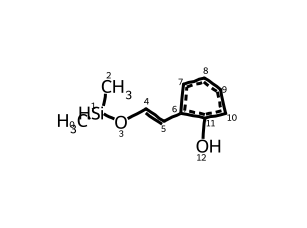 C[SiH](C)OC=Cc1ccccc1O